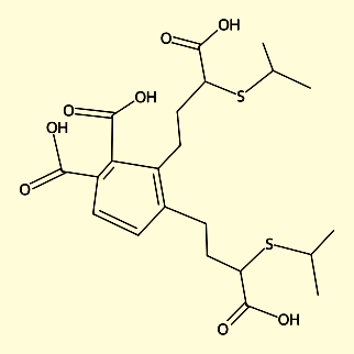 CC(C)SC(CCc1ccc(C(=O)O)c(C(=O)O)c1CCC(SC(C)C)C(=O)O)C(=O)O